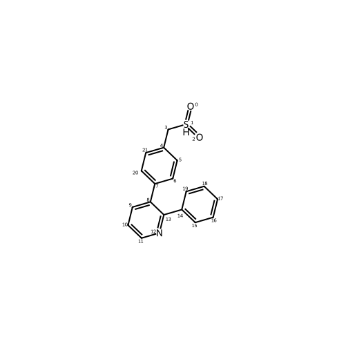 O=[SH](=O)Cc1ccc(-c2cccnc2-c2ccccc2)cc1